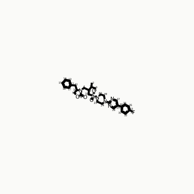 CC(C)C(CN1C(=O)OCC1Cc1ccccc1)CS(=O)(=O)N1CCN(c2ncc(-c3ccc(F)cc3)cn2)CC1